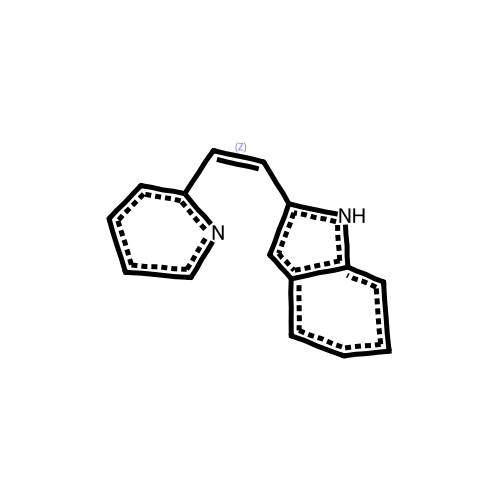 C(=C/c1cc2ccccc2[nH]1)/c1ccccn1